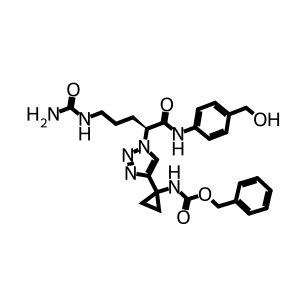 NC(=O)NCCC[C@@H](C(=O)Nc1ccc(CO)cc1)n1cc(C2(NC(=O)OCc3ccccc3)CC2)nn1